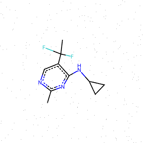 Cc1ncc(C(C)(F)F)c(NC2CC2)n1